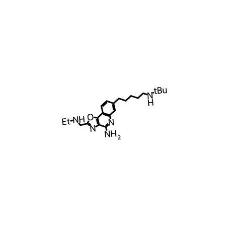 CCNCc1nc2c(N)nc3cc(CCCCCNC(C)(C)C)ccc3c2o1